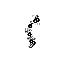 O=C(Nc1ccc(C(=O)Nc2ccc3c(S(=O)(=O)O)cccc3c2O)cc1)Nc1ccc(C(=O)Nc2ccc3c(S(=O)(=O)O)cccc3c2O)cc1